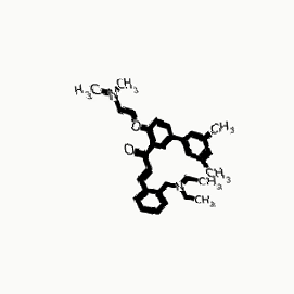 CCN(CC)Cc1ccccc1C=CC(=O)c1cc(-c2cc(C)cc(C)c2)ccc1OCCN(C)C